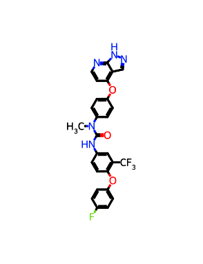 CN(C(=O)Nc1ccc(Oc2ccc(F)cc2)c(C(F)(F)F)c1)c1ccc(Oc2ccnc3[nH]ncc23)cc1